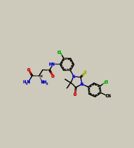 CC1(C)C(=O)N(c2ccc(C#N)c(Cl)c2)C(=S)N1c1ccc(Cl)c(NC(=O)C[C@H](N)C(N)=O)c1